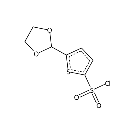 O=S(=O)(Cl)c1ccc(C2OCCO2)s1